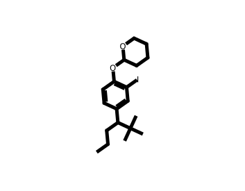 CCCC(c1ccc(OC2CCCCO2)c(I)c1)C(C)(C)C